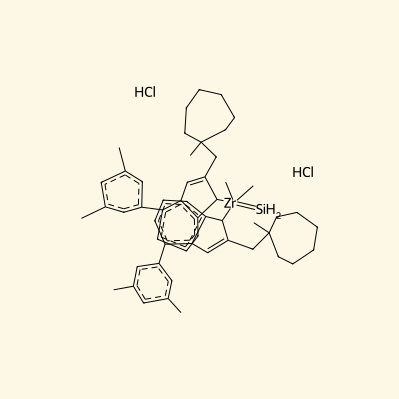 Cc1cc(C)cc(-c2cccc3c2C=C(CC2(C)CCCCCC2)[CH]3[Zr]([CH3])([CH3])(=[SiH2])[CH]2C(CC3(C)CCCCCC3)=Cc3c(-c4cc(C)cc(C)c4)cccc32)c1.Cl.Cl